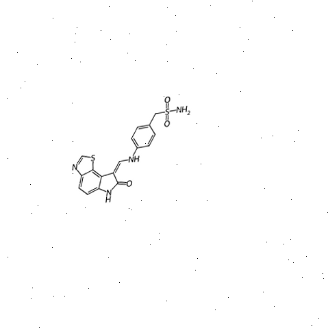 NS(=O)(=O)Cc1ccc(N/C=C2\C(=O)Nc3ccc4ncsc4c32)cc1